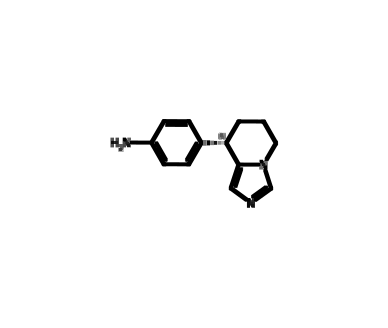 Nc1ccc([C@@H]2CCCn3cncc32)cc1